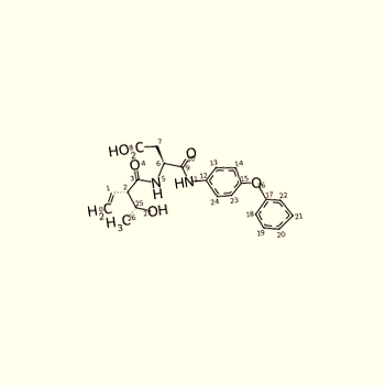 C=C[C@H](C(=O)N[C@@H](CC(=O)O)C(=O)Nc1ccc(Oc2ccccc2)cc1)[C@@H](C)O